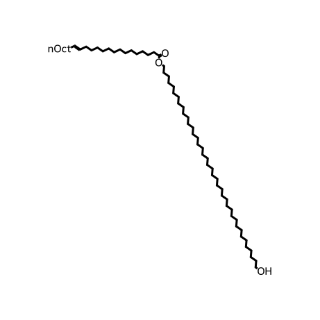 CCCCCCCCC=CCCCCCCCCCCCCCC(=O)OCCCCCCCCCCCCCCCCCCCCCCCCCCCCCCCCCCCCCCCCO